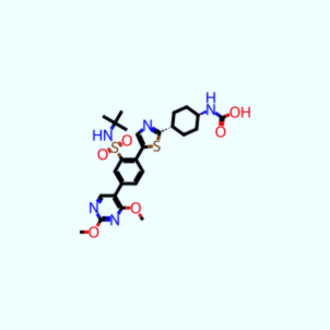 COc1ncc(-c2ccc(-c3cnc([C@H]4CC[C@H](NC(=O)O)CC4)s3)c(S(=O)(=O)NC(C)(C)C)c2)c(OC)n1